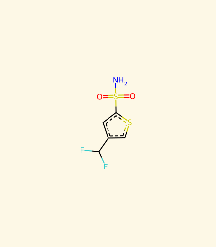 NS(=O)(=O)c1cc(C(F)F)cs1